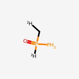 [2H]CP([2H])(=O)P